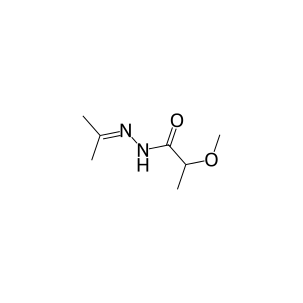 COC(C)C(=O)NN=C(C)C